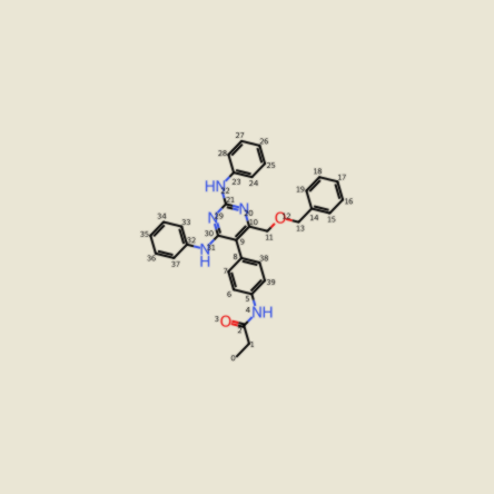 CCC(=O)Nc1ccc(-c2c(COCc3ccccc3)nc(Nc3ccccc3)nc2Nc2ccccc2)cc1